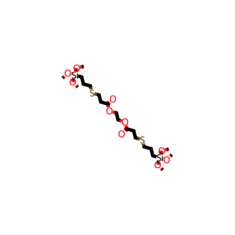 CO[Si](CCCSCCC(=O)OCCOC(=O)CCSCCC[Si](OC)(OC)OC)(OC)OC